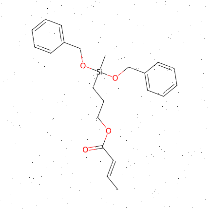 CC=CC(=O)OCCC[Si](C)(OCc1ccccc1)OCc1ccccc1